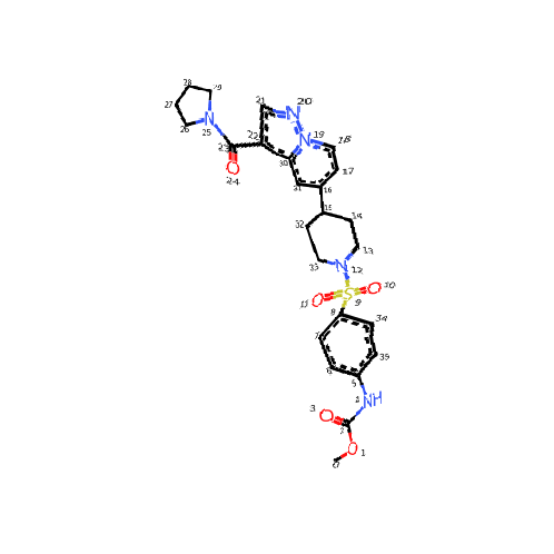 COC(=O)Nc1ccc(S(=O)(=O)N2CCC(c3ccn4ncc(C(=O)N5CCCC5)c4c3)CC2)cc1